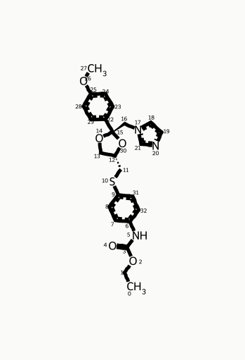 CCOC(=O)Nc1ccc(SC[C@@H]2CO[C@](Cn3ccnc3)(c3ccc(OC)cc3)O2)cc1